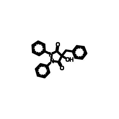 O=C1N(c2ccccc2)N(c2ccccc2)C(=O)C1(O)Cc1ccccc1